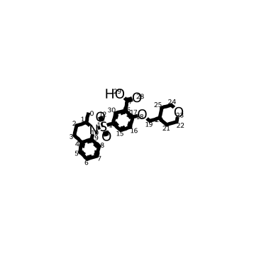 CC1CCc2ccccc2N1S(=O)(=O)c1ccc(OCC2CCOCC2)c(C(=O)O)c1